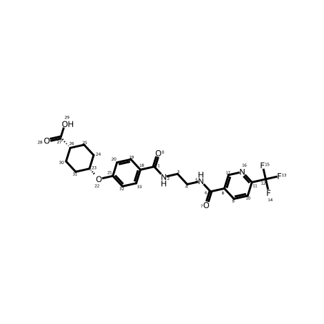 O=C(NCCNC(=O)c1ccc(C(F)(F)F)nc1)c1ccc(O[C@H]2CC[C@@H](C(=O)O)CC2)cc1